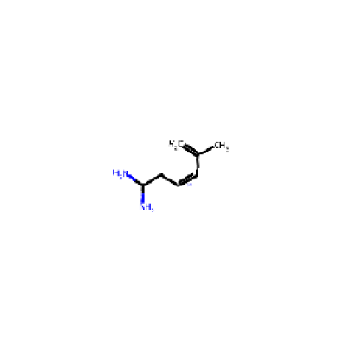 C=C(C)/C=C\CC(N)N